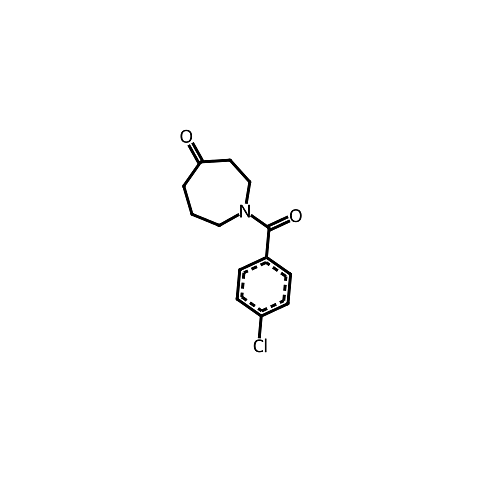 O=C1CCCN(C(=O)c2ccc(Cl)cc2)CC1